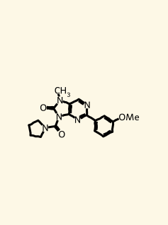 COc1cccc(-c2ncc3c(n2)n(C(=O)N2CCCC2)c(=O)n3C)c1